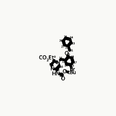 CCOC(=O)C1C=NC(NC(=O)OC(C)(C)C)=CN1Cc1cc(Br)ccc1OCc1ccccc1